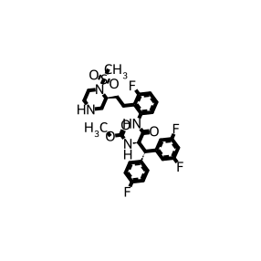 COC(=O)N[C@H](C(=O)Nc1cccc(F)c1CC[C@H]1CNCCN1S(C)(=O)=O)[C@@H](c1ccc(F)cc1)c1cc(F)cc(F)c1